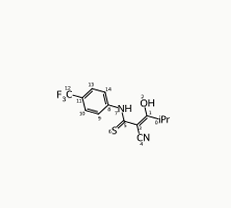 CC(C)C(O)=C(C#N)C(=S)Nc1ccc(C(F)(F)F)cc1